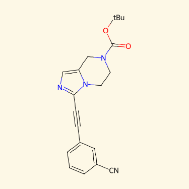 CC(C)(C)OC(=O)N1CCn2c(cnc2C#Cc2cccc(C#N)c2)C1